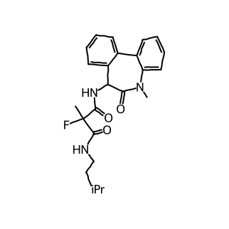 CC(C)CCNC(=O)C(C)(F)C(=O)NC1C(=O)N(C)c2ccccc2-c2ccccc21